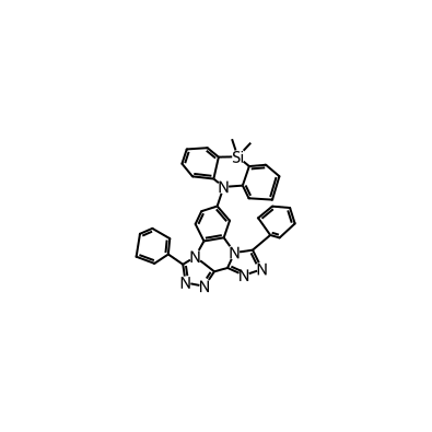 C[Si]1(C)c2ccccc2N(c2ccc3c(c2)n2c(-c4ccccc4)nnc2c2nnc(-c4ccccc4)n32)c2ccccc21